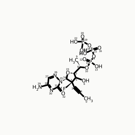 CC#C[C@@]1(F)C(O)[C@@H]([C@H](C)OP(=O)(O)OP(=O)(O)OP(=O)(O)O)O[C@H]1n1ncc(N)nc1=O